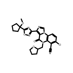 COC1(c2nc(-c3ncn4c3c(=O)n(CC3CCCO3)c3c(C#N)c(Cl)ccc34)no2)CCCC1